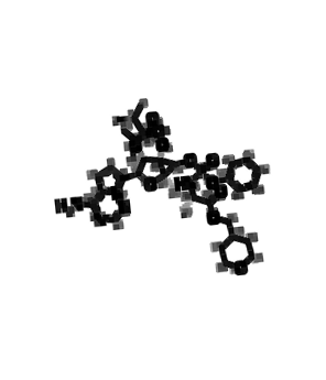 CC(C)C(=O)O[C@H]1[C@H](c2ccc3c(N)ncnn23)O[C@]2(C)C(OP(=O)(N[C@@H](C)C(=O)OCC3CCOCC3)Oc3ccccc3)[C@]12OC(=O)C(C)C